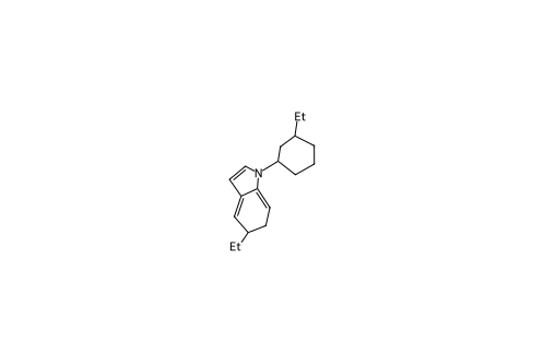 CCC1C=c2ccn(C3CCCC(CC)C3)c2=CC1